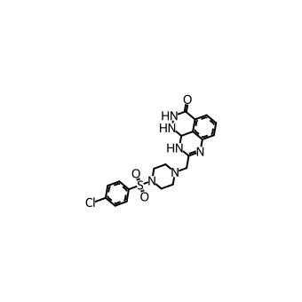 O=C1NNC2NC(CN3CCN(S(=O)(=O)c4ccc(Cl)cc4)CC3)=Nc3cccc1c32